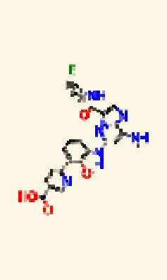 CNc1cc(Nc2cccc(-c3ccc(C(=O)O)cn3)c2OC)nn2c(C(=O)N[C@@H]3C[C@@H]3F)cnc12